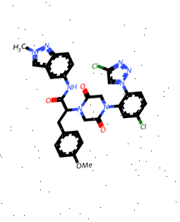 COc1ccc(CC(C(=O)Nc2ccc3nn(C)cc3c2)N2CC(=O)N(c3cc(Cl)ccc3-n3cc(Cl)nn3)CC2=O)cc1